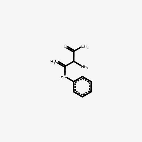 C=C(Nc1ccccc1)C(N)C(C)=O